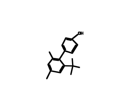 Cc1cc(C)c(-c2ccc(O)cc2)c(C(C)(C)C)c1